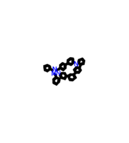 C1=CCCC(c2cccc(-c3ccc4c5ccccc5n(-c5cccc(-c6ccc(-c7nc(-c8ccccc8)nc(-c8ccccc8)n7)cc6)c5)c4c3)c2)=C1